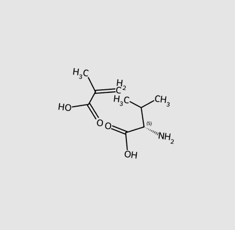 C=C(C)C(=O)O.CC(C)[C@H](N)C(=O)O